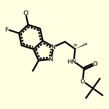 Cc1nn(C[C@H](C)NC(=O)OC(C)(C)C)c2cc(Cl)c(F)cc12